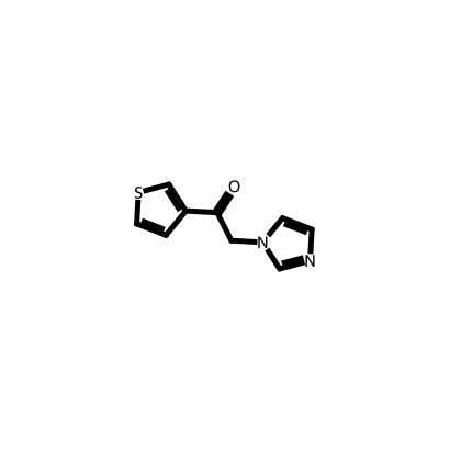 O=C(Cn1ccnc1)c1ccsc1